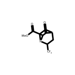 COC(=O)C1C(=O)C2CCN1C(C(F)(F)F)C2